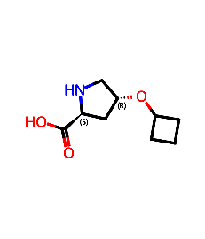 O=C(O)[C@@H]1C[C@@H](OC2CCC2)CN1